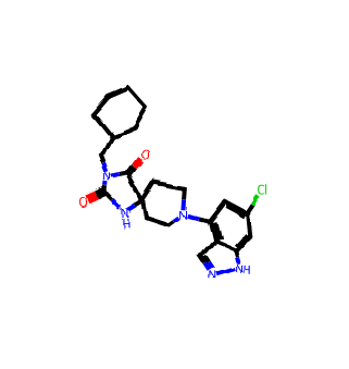 O=C1NC2(CCN(c3cc(Cl)cc4[nH]ncc34)CC2)C(=O)N1CC1CCCCC1